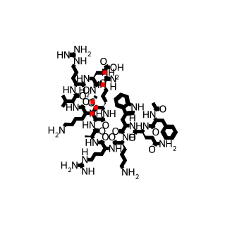 CSCCC(NC(=O)[C@H](C)NC(=O)C(CCCNC(=N)N)NC(=O)[C@H](CCCCN)NC(=O)C(Cc1c[nH]c2ccccc12)NC(=O)[C@H](CCC(N)=O)NC(=O)C(Cc1ccccc1)NC(C)=O)C(=O)N[C@@H](CCCNC(=N)N)C(=O)NC(CCCCN)C(=O)N[C@H](C(=O)NC(CCCNC(=N)N)C(=O)N[C@@H](CCC(=O)O)C(N)=O)C(C)C